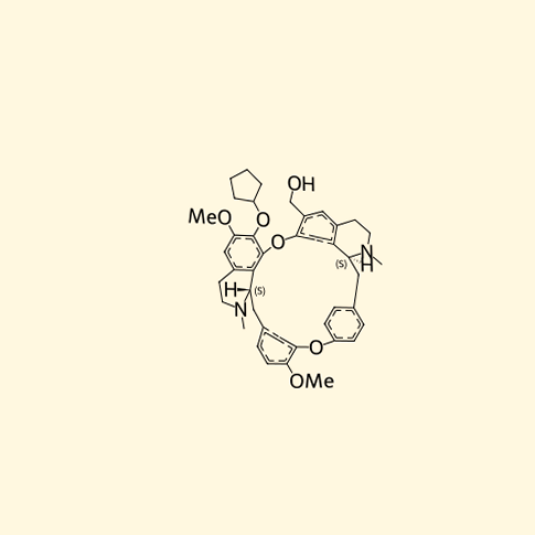 COc1ccc2cc1Oc1ccc(cc1)C[C@H]1c3cc(c(CO)cc3CCN1C)Oc1c(OC3CCCC3)c(OC)cc3c1[C@H](C2)N(C)CC3